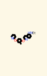 CCNc1ccc2nc(Oc3ccc(Oc4ccccn4)cc3C)ccc2c1